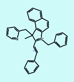 CC1(Cc2ccccn2)C(/C=C/c2ccccc2)=[N+](Cc2ccccc2)c2ccc3ccccc3c21